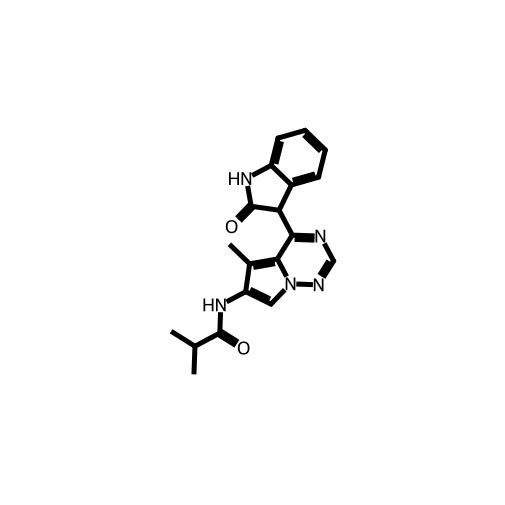 Cc1c(NC(=O)C(C)C)cn2ncnc(C3C(=O)Nc4ccccc43)c12